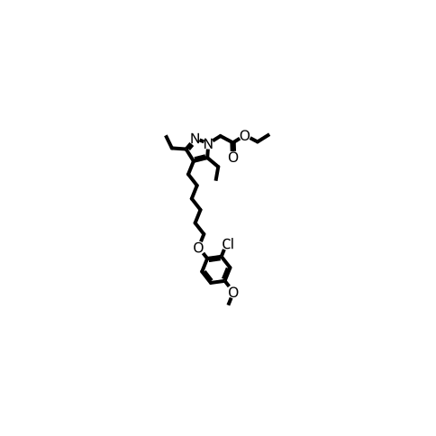 CCOC(=O)Cn1nc(CC)c(CCCCCCOc2ccc(OC)cc2Cl)c1CC